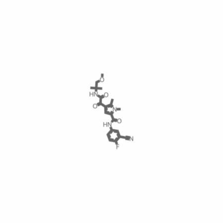 COCC(C)(C)NC(=O)C(=O)c1cc(C(=O)Nc2ccc(F)c(C#N)c2)n(C)c1C